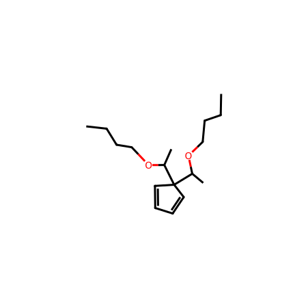 CCCCOC(C)C1(C(C)OCCCC)C=CC=C1